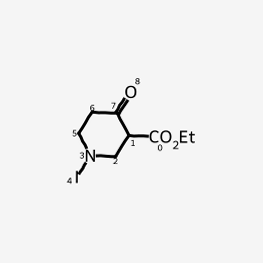 CCOC(=O)C1CN(I)CCC1=O